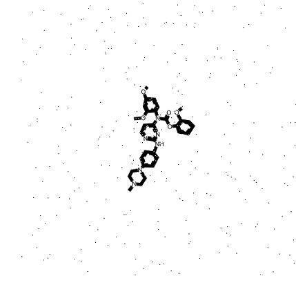 COc1ccc(N(C(=O)Oc2ccccc2OC)c2ccnc(Nc3ccc(N4CCN(C)CC4)cc3)n2)c(OC)c1